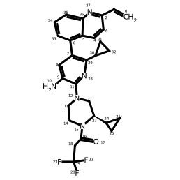 C=Cc1ccc2c(-c3cc(N)c(N4CCN(C(=O)CC(F)(F)F)[C@H](C5CC5)C4)nc3C3CC3)cccc2n1